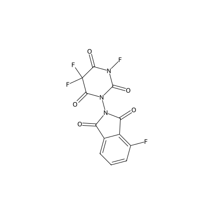 O=C1c2cccc(F)c2C(=O)N1N1C(=O)N(F)C(=O)C(F)(F)C1=O